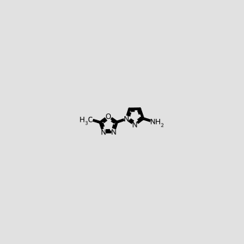 Cc1nnc(-n2ccc(N)n2)o1